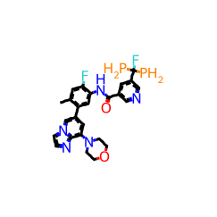 Cc1cc(F)c(NC(=O)c2cncc(C(F)(P)P)c2)cc1-c1cc(N2CCOCC2)c2nccn2c1